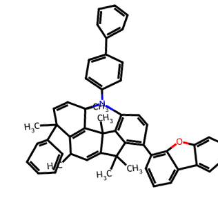 CC1C=C2C(C)(C)c3c(-c4cccc5c4oc4ccccc45)ccc4c3C2(C)C2=C1C(C)(c1ccccc1)C=CC2(C)N4c1ccc(-c2ccccc2)cc1